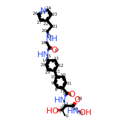 C[C@@H](O)[C@H](NC(=O)c1ccc(-c2ccc(NC(=O)CNCCc3ccncc3)cc2)cc1)C(=O)NO